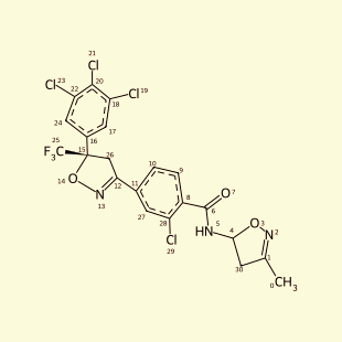 CC1=NOC(NC(=O)c2ccc(C3=NO[C@@](c4cc(Cl)c(Cl)c(Cl)c4)(C(F)(F)F)C3)cc2Cl)C1